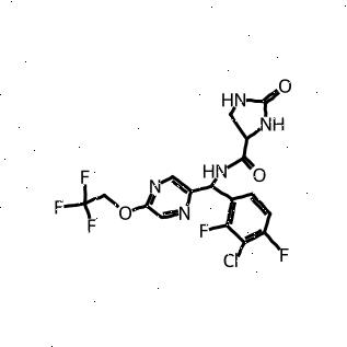 O=C1NCC(C(=O)NC(c2cnc(OCC(F)(F)F)cn2)c2ccc(F)c(Cl)c2F)N1